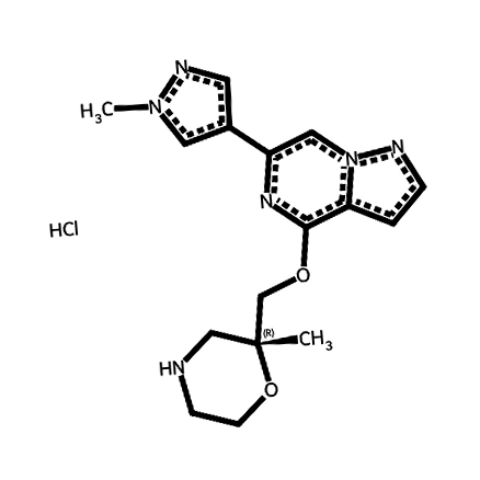 Cl.Cn1cc(-c2cn3nccc3c(OC[C@@]3(C)CNCCO3)n2)cn1